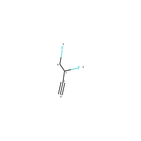 [C]#CC(F)CF